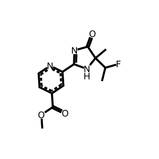 COC(=O)c1ccnc(C2=NC(=O)C(C)(C(C)F)N2)c1